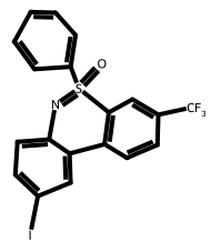 O=S1(c2ccccc2)=Nc2ccc(I)cc2-c2ccc(C(F)(F)F)cc21